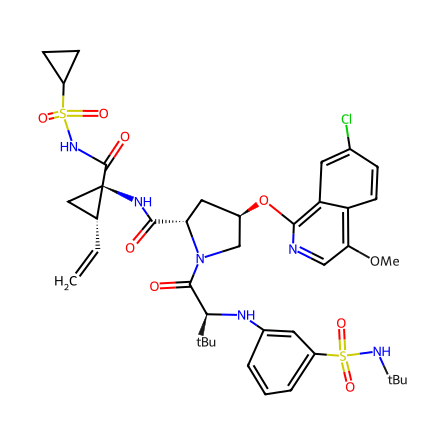 C=C[C@@H]1C[C@]1(NC(=O)[C@@H]1C[C@@H](Oc2ncc(OC)c3ccc(Cl)cc23)CN1C(=O)[C@@H](Nc1cccc(S(=O)(=O)NC(C)(C)C)c1)C(C)(C)C)C(=O)NS(=O)(=O)C1CC1